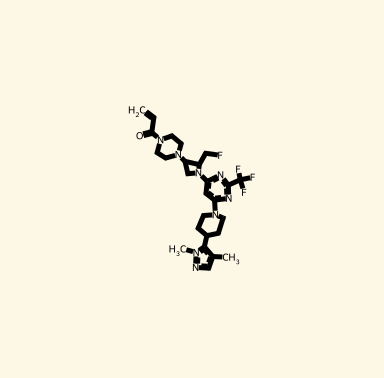 C=CC(=O)N1CCN(C2CN(c3cc(N4CCC(c5c(C)cnn5C)CC4)nc(C(F)(F)F)n3)C2CF)CC1